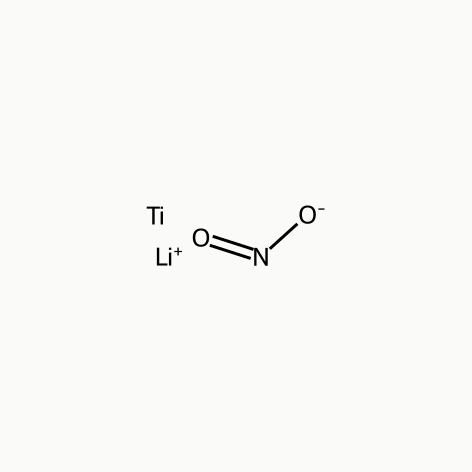 O=N[O-].[Li+].[Ti]